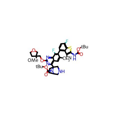 COC1(COc2nc(C34CCC(CNC3)N4C(=O)OC(C)(C)C)c3cc(C(F)(F)F)c(-c4ccc(F)c5sc(NC(=O)OC(C)(C)C)c(C#N)c45)c(F)c3n2)CCOC1